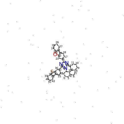 c1ccc2c(c1)ccc1cccc(-c3nc(-c4ccc5c(c4)oc4ccccc45)nc(-c4ccc5c(c4)sc4ccccc45)n3)c12